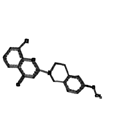 COc1ccc2c(c1)CCN(c1cc(=O)c3cccc(Cl)c3o1)C2